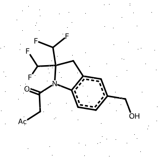 CC(=O)CC(=O)N1c2ccc(CO)cc2CC1(C(F)F)C(F)F